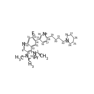 C=CN(c1c(N(C)C)cnc2cc(F)c(-c3ccc(CCCCN4CCCCC4)nc3)cc12)C(C)C